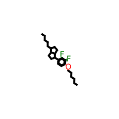 CCCCCCOc1ccc(C2CCC3C(CCCCC)CCC23)c(F)c1F